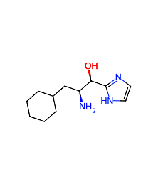 N[C@@H](CC1CCCCC1)[C@@H](O)c1ncc[nH]1